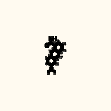 CN(C)c1ccc2cc3c(C(N)=O)cccc3cc2c1